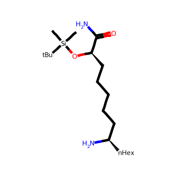 CCCCCC[C@@H](N)CCCCC[C@@H](O[Si](C)(C)C(C)(C)C)C(N)=O